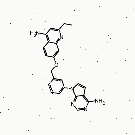 CCc1cc(N)c2ccc(OCc3cncc(-n4ccc5c(N)ncnc54)c3)cc2n1